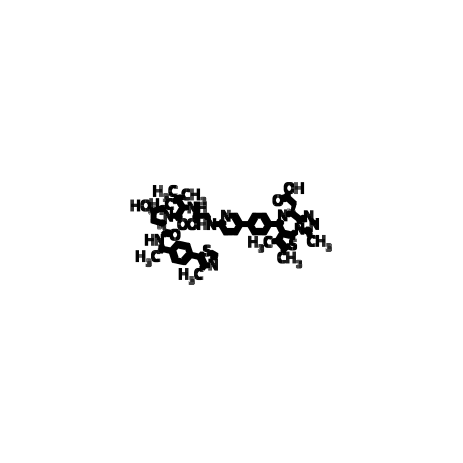 Cc1ncsc1-c1ccc(C(C)NC(=O)[C@@H]2C[C@@H](O)CN2C(=O)C(NC(=O)CNc2ccc(-c3ccc(C4=N[C@@H](CC(=O)O)c5nnc(C)n5-c5sc(C)c(C)c54)cc3)cn2)C(C)(C)C)cc1